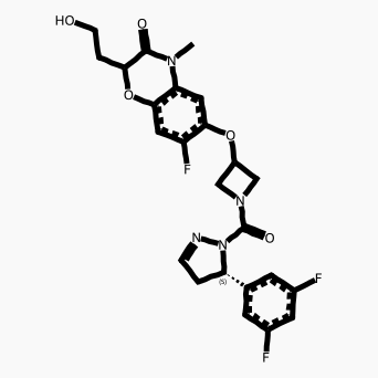 CN1C(=O)C(CCO)Oc2cc(F)c(OC3CN(C(=O)N4N=CC[C@H]4c4cc(F)cc(F)c4)C3)cc21